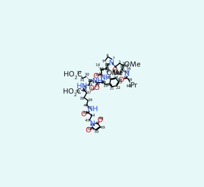 CC[C@H](C)[C@@H]([C@@H](CC(=O)N1CCC[C@H]1[C@H](OC)[C@@H](C)C(=O)N[C@@H](Cc1ccccc1)C(=O)N[C@@H](CCC(=O)O)C(=O)N[C@@H](CCCCNC(=O)CCN1C(=O)C=CC1=O)C(=O)O)OC)N(C)C(=O)CC(C)C